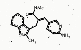 CNC(=O)/C(=C/c1ccc(N)nc1)Cc1c(C)sc2ccccc12